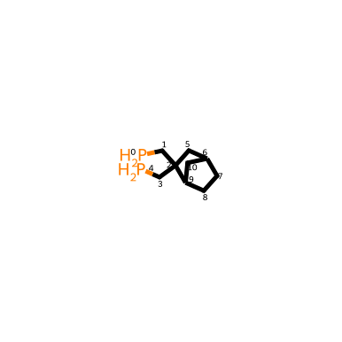 PCC1(CP)CC2CCC1C2